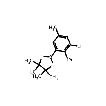 Cc1cc(Cl)c(C(C)C)c(B2OC(C)(C)C(C)(C)O2)c1